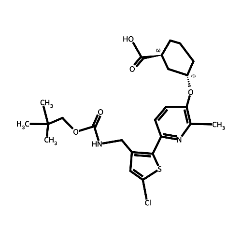 Cc1nc(-c2sc(Cl)cc2CNC(=O)OCC(C)(C)C)ccc1O[C@H]1CCC[C@H](C(=O)O)C1